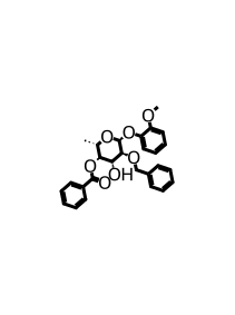 COc1ccccc1O[C@@H]1O[C@@H](C)[C@@H](OC(=O)c2ccccc2)[C@@H](O)[C@@H]1OCc1ccccc1